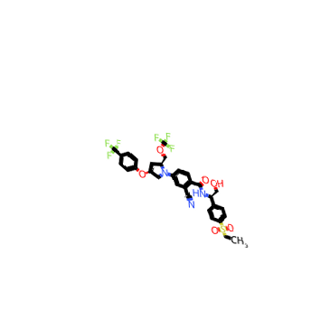 CCS(=O)(=O)c1ccc([C@H](CO)NC(=O)c2ccc(N3C[C@@H](Oc4ccc(C(F)(F)F)cc4)C[C@H]3COC(F)(F)F)cc2C#N)cc1